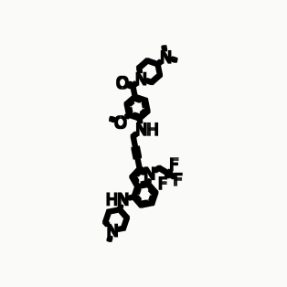 COc1cc(C(=O)N2CCC(N(C)C)CC2)ccc1NCC#Cc1cc2c(NC3CCN(C)CC3)cccc2n1CC(F)(F)F